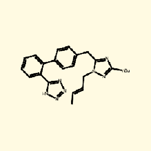 CC=CCn1nc(CCCC)nc1Cc1ccc(-c2ccccc2-c2nnn[nH]2)cc1